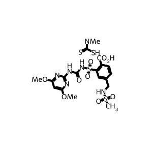 CNC(=S)S.COc1cc(OC)nc(NC(=O)NS(=O)(=O)c2cc(CNS(C)(=O)=O)ccc2C(=O)O)n1